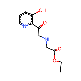 CCOC(=O)CNCC(=O)c1ncccc1O